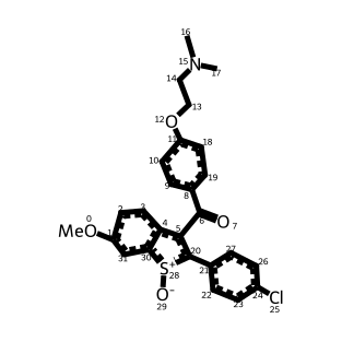 COc1ccc2c(C(=O)c3ccc(OCCN(C)C)cc3)c(-c3ccc(Cl)cc3)[s+]([O-])c2c1